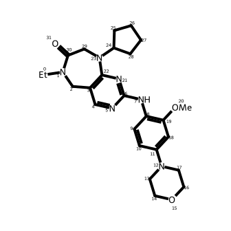 CCN1Cc2cnc(Nc3ccc(N4CCOCC4)cc3OC)nc2N(C2CCCC2)CC1=O